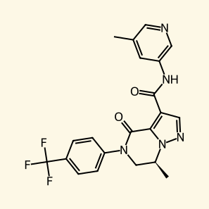 Cc1cncc(NC(=O)c2cnn3c2C(=O)N(c2ccc(C(F)(F)F)cc2)C[C@@H]3C)c1